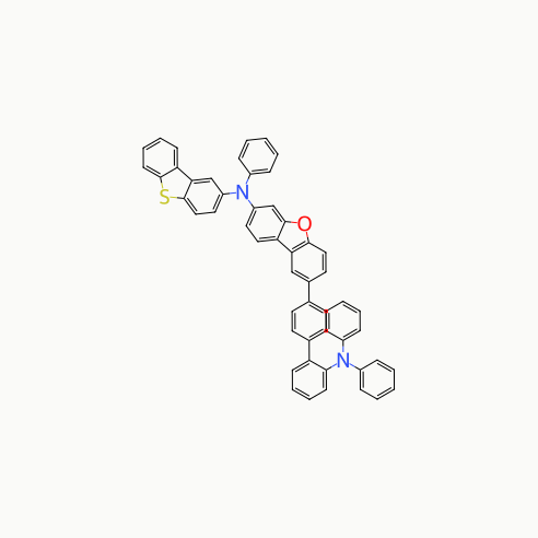 c1ccc(N(c2ccc3c(c2)oc2ccc(-c4ccc(-c5ccccc5N(c5ccccc5)c5ccccc5)cc4)cc23)c2ccc3sc4ccccc4c3c2)cc1